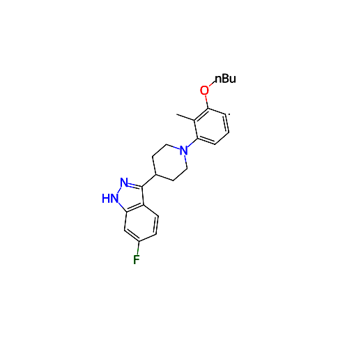 CCCCOc1[c]ccc(N2CCC(c3n[nH]c4cc(F)ccc34)CC2)c1C